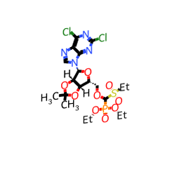 CCOP(=O)(OCC)C(OC[C@H]1O[C@@H](n2cnc3c(Cl)nc(Cl)nc32)[C@@H]2OC(C)(C)O[C@@H]21)S(=O)(=O)CC